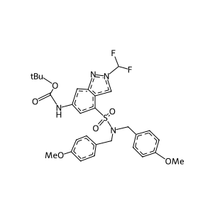 COc1ccc(CN(Cc2ccc(OC)cc2)S(=O)(=O)c2cc(NC(=O)OC(C)(C)C)cc3nn(C(F)F)cc23)cc1